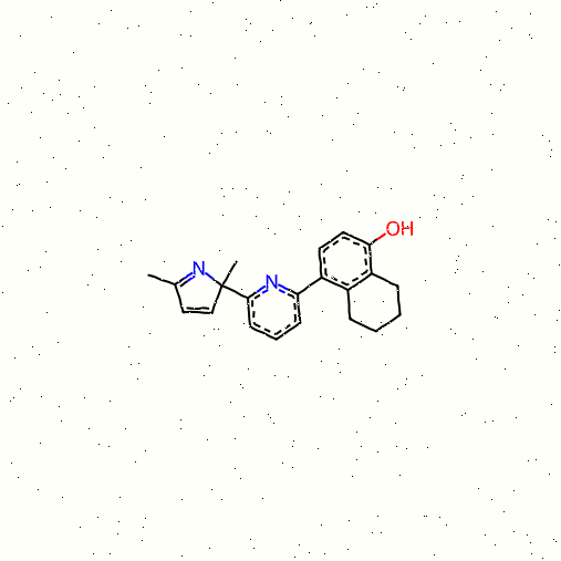 CC1=NC(C)(c2cccc(-c3ccc(O)c4c3CCCC4)n2)C=C1